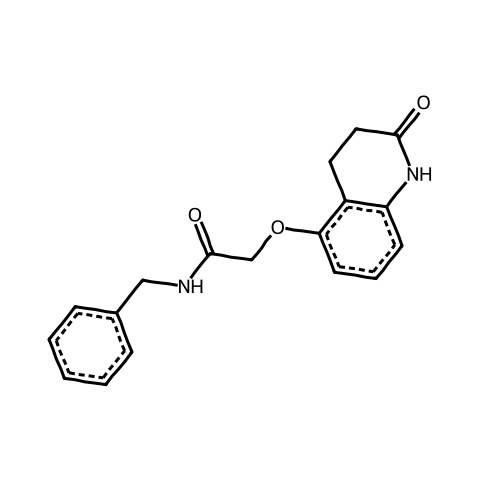 O=C(COc1cccc2c1CCC(=O)N2)NCc1ccccc1